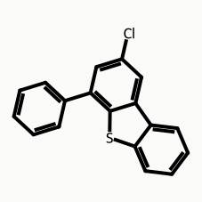 Clc1cc(-c2ccccc2)c2sc3ccccc3c2c1